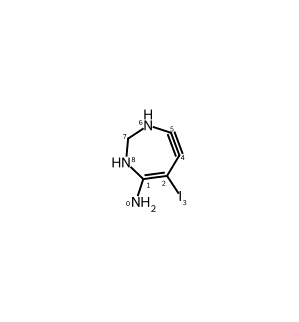 NC1=C(I)C#CNCN1